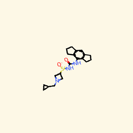 O=C(Nc1c2c(cc3c1CCC3)CCC2)N[S+]([O-])C1CN(CC2CC2)C1